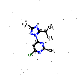 Cc1nc(Cl)cc(-n2nc(C)nc2C(C)C)n1